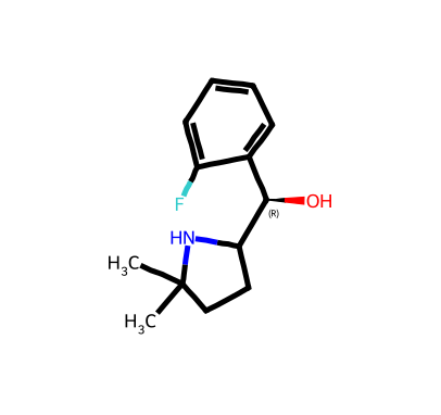 CC1(C)CCC([C@H](O)c2ccccc2F)N1